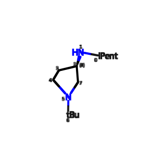 CCCC(C)N[C@@H]1CCN(C(C)(C)C)C1